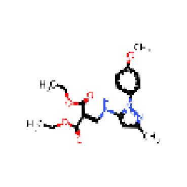 CCOC(=O)C(=CNc1cc(C)nn1-c1ccc(OC)cc1)C(=O)OCC